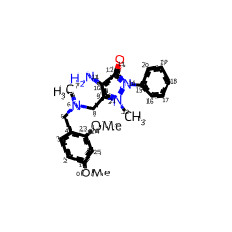 COc1ccc(CN(C)Cc2c(N)c(=O)n(-c3ccccc3)n2C)c(OC)c1